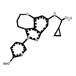 COc1ccc(-n2nc3cc(NC(C(=O)O)C4CC4)cc4c3c2CCCO4)cn1